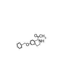 CC(=O)[C@H]1NCCc2cc(OCc3ccccc3)ccc21